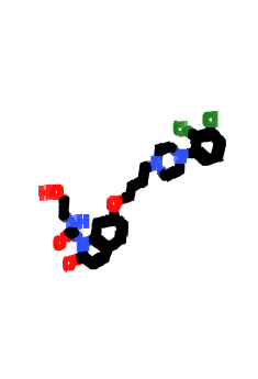 O=C(NCCO)n1c(=O)ccc2ccc(OCCCCN3CCN(c4cccc(Cl)c4Cl)CC3)cc21